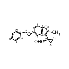 Cc1oc2ccc(OCc3ccccc3)cc2c1C1(C=O)CC1